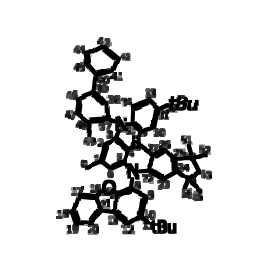 Cc1cc2c3c(c1)N(c1cc(C(C)(C)C)cc4c1oc1ccccc14)c1cc4c(cc1B3c1cc(C(C)(C)C)ccc1N2c1cc(-c2ccccc2)ccc1C)C(C)(C)CC4(C)C